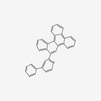 c1ccc(-c2ccnc(-c3cc4c5ccccc5c5ccccc5c4c4ccccc34)c2)cc1